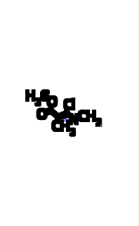 C=N/C(Cl)=C(\C)C(=O)OC